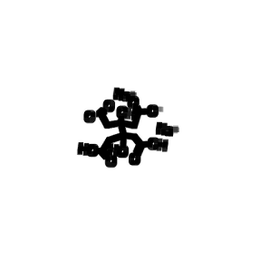 O=C([O-])CC(O)(CC(=O)[O-])C(O)(CC(=O)O)CC(=O)O.[Na+].[Na+]